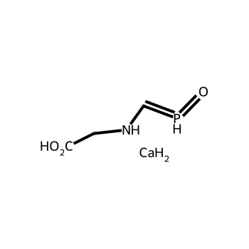 O=[PH]=CNCC(=O)O.[CaH2]